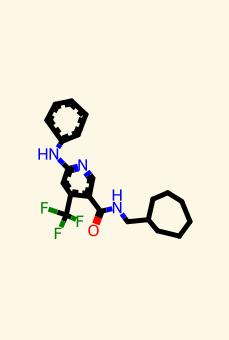 O=C(NCC1CCCCCC1)c1cnc(Nc2ccccc2)cc1C(F)(F)F